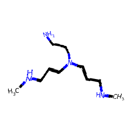 CNCCCN(CCN)CCCNC